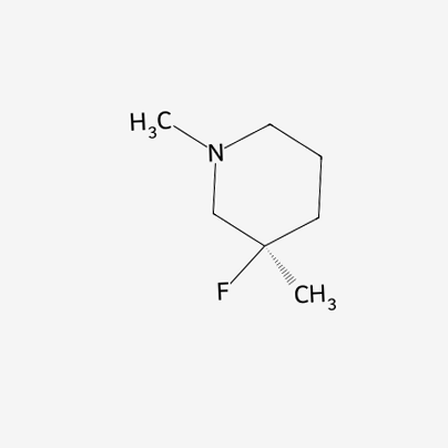 CN1CCC[C@@](C)(F)C1